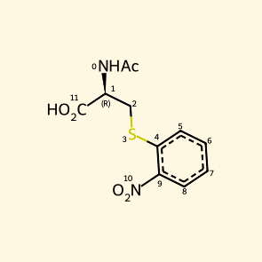 CC(=O)N[C@@H](CSc1ccccc1[N+](=O)[O-])C(=O)O